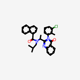 Cc1c(Cl)cccc1-n1c(C(C)N(CC(C)C)C(=O)c2cccc3ccccc23)nc2ccccc2c1=O